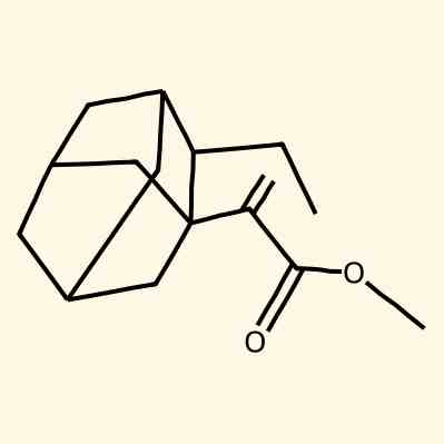 C=C(C(=O)OC)C12CC3CC(CC(C3)C1CC)C2